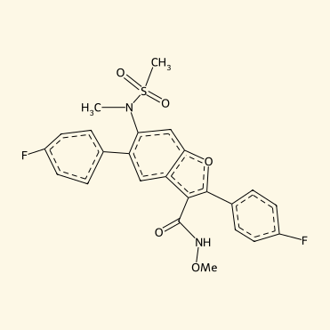 CONC(=O)c1c(-c2ccc(F)cc2)oc2cc(N(C)S(C)(=O)=O)c(-c3ccc(F)cc3)cc12